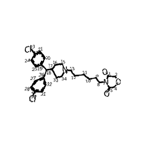 O=C1COCC(=O)N1CCCCCCN1CCC(C(c2ccc(Cl)cc2)c2ccc(Cl)cc2)CC1